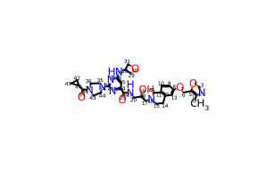 Cc1ncoc1COc1ccc2c(c1)CCN(CC(O)CNC(=O)c1cc(NC3COC3)nc(N3CCN(C(=O)C4CC4)CC3)n1)C2